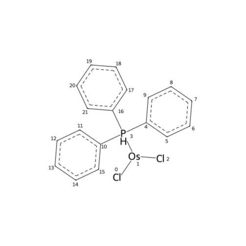 [Cl][Os]([Cl])[PH](c1ccccc1)(c1ccccc1)c1ccccc1